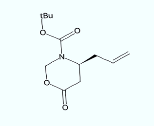 C=CC[C@H]1CC(=O)OCN1C(=O)OC(C)(C)C